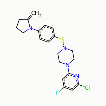 C=C1CCCN1c1ccc(SN2CCN(c3cc(F)cc(Cl)n3)CC2)cc1